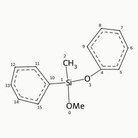 CO[Si](C)(Oc1ccccc1)c1ccccc1